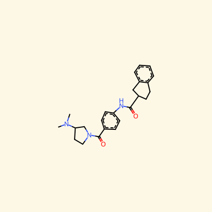 CN(C)C1CCN(C(=O)c2ccc(NC(=O)C3CCc4ccccc4C3)cc2)C1